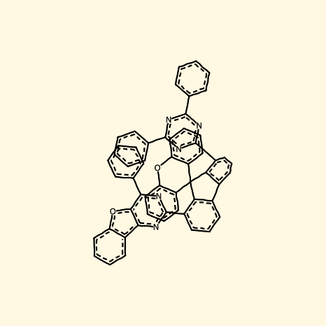 c1ccc(-c2nc(-c3ccccc3)nc(-c3cccc4c3C3(c5ccccc5Oc5ccccc53)c3c(-c5nc(-c6ccccc6)c6oc7ccccc7c6n5)cccc3-4)n2)cc1